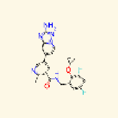 Cc1ncc(-c2ccn3nc(N)nc3c2)cc1C(=O)NCc1cc(F)cc(F)c1OC1CC1